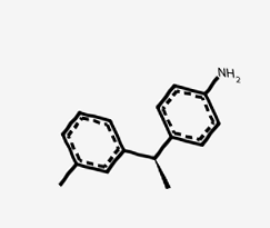 Cc1cccc([C@H](C)c2ccc(N)cc2)c1